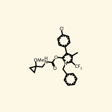 COC1(CNC(=O)Oc2c(-c3ccc(Cl)cc3)c(C)c(C(F)(F)F)n2Cc2ccccc2)CC1